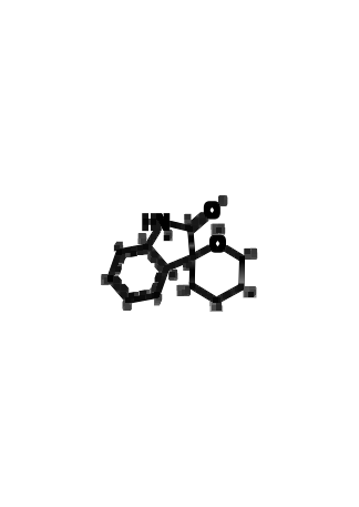 O=C1Nc2ccccc2C12CCCCO2